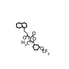 C[C@H]1[C@@H](c2cccc(OC(F)(F)F)c2)OC(=O)N1C(=O)CCc1cccc2ccccc12